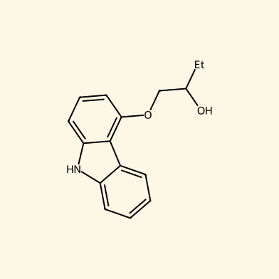 CCC(O)COc1cccc2[nH]c3ccccc3c12